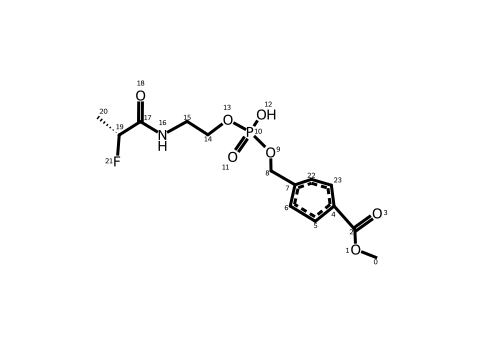 COC(=O)c1ccc(COP(=O)(O)OCCNC(=O)[C@@H](C)F)cc1